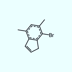 Cc1cc(C)c2c(c1Br)CC=C2